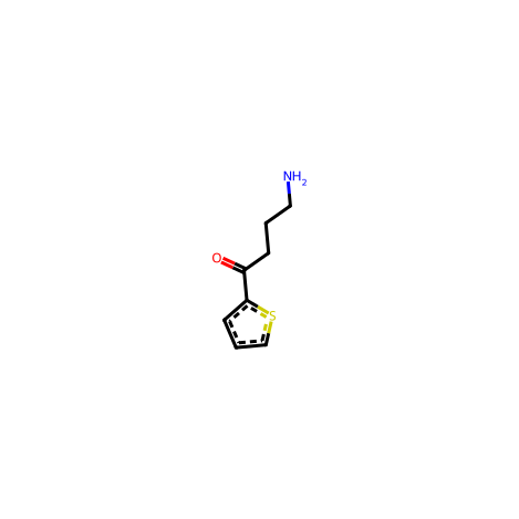 NCCCC(=O)c1cccs1